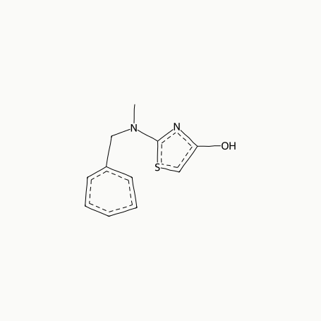 CN(Cc1ccccc1)c1nc(O)cs1